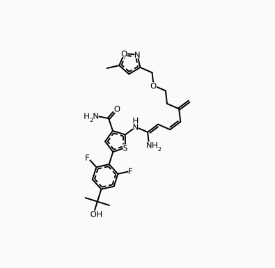 C=C(/C=C\C=C(/N)Nc1sc(-c2c(F)cc(C(C)(C)O)cc2F)cc1C(N)=O)CCOCc1cc(C)on1